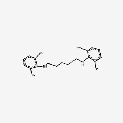 CC(C)c1cccc(C(C)C)c1NCCCCCNc1c(C(C)C)cccc1C(C)C